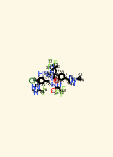 C[C@@H](C(=O)NC[C@H](c1ccc(Cl)c(-n2ncnc2C(F)F)c1)N1C(=N)N[C@](CC(C)(C)C(F)(F)F)(c2ccc(-c3cnn(C4CC4)n3)cc2)C1=O)C(F)(F)F